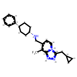 FC(F)(F)c1c(CN[C@H]2CC[C@@H](c3ccccc3)CC2)ccn2c(CC3CC3)nnc12